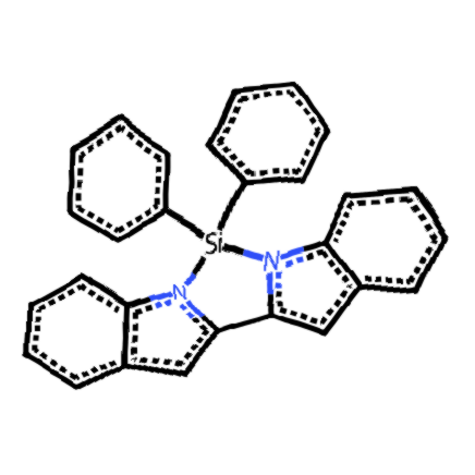 c1ccc([Si]2(c3ccccc3)n3c(cc4ccccc43)-c3cc4ccccc4n32)cc1